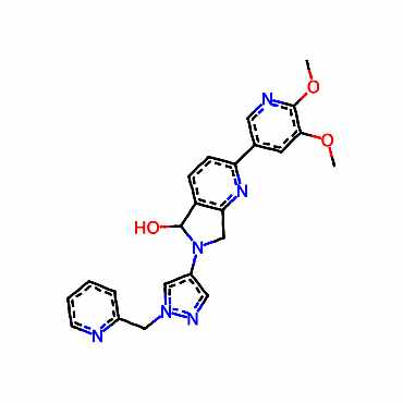 COc1cc(-c2ccc3c(n2)CN(c2cnn(Cc4ccccn4)c2)C3O)cnc1OC